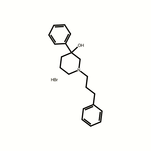 Br.OC1(c2ccccc2)CCCN(CCCc2ccccc2)C1